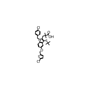 CC(C)(C)Sc1c(CC(C)(C)C(=O)O)n(Cc2ccc(Cl)cc2)c2ccc(OCc3ccc(Cl)s3)cc12